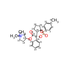 Cc1ccc(S(=O)(=O)O[C@@](C(=O)O[C@H]2CC[N+](C)(C)C2)(c2ccccc2)C2CCCC2)cc1